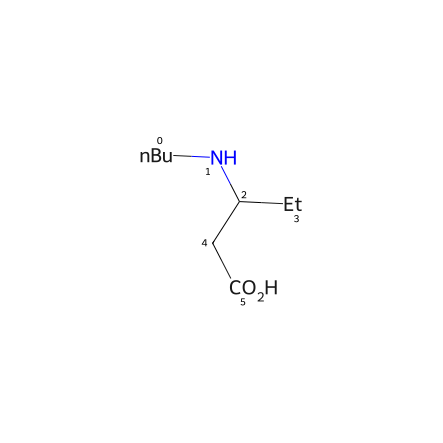 CCCCNC(CC)CC(=O)O